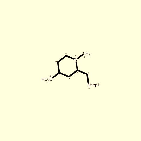 CCCCCCCCC1CC(C(=O)O)CCN1C